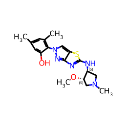 CO[C@H]1CN(C)C[C@@H]1Nc1nc2nn(-c3c(C)cc(C)cc3O)cc2s1